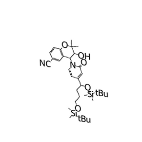 CC1(C)Oc2ccc(C#N)cc2C(n2ccc(C(CCCO[Si](C)(C)C(C)(C)C)O[Si](C)(C)C(C)(C)C)cc2=O)C1O